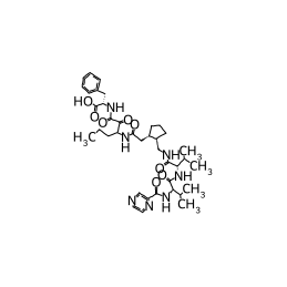 CCCC(NC(=O)C[C@H]1CCC[C@H]1CNC(=O)[C@@H](NC(=O)[C@H](NC(=O)c1cnccn1)C(C)C)C(C)C)C(=O)C(=O)N[C@@H](Cc1ccccc1)C(=O)O